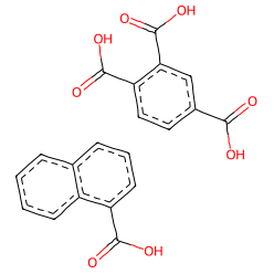 O=C(O)c1ccc(C(=O)O)c(C(=O)O)c1.O=C(O)c1cccc2ccccc12